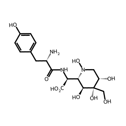 N[C@@H](Cc1ccc(O)cc1)C(=O)N[C@H](C(=O)O)[C@H]1[C@H](O)[C@](O)(CO)[C@@H](O)CN1O